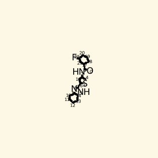 O=C(Nc1csc(-c2nc3ccccc3[nH]2)c1)c1cccc(F)c1